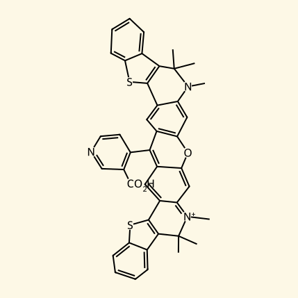 CN1c2cc3c(cc2-c2sc4ccccc4c2C1(C)C)C(c1ccncc1C(=O)O)=c1cc2c(cc1O3)=[N+](C)C(C)(C)c1c-2sc2ccccc12